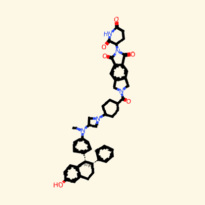 CN(c1ccc([C@H]2c3ccc(O)cc3CC[C@H]2c2ccccc2)cc1)C1CN(C2CCC(C(=O)N3Cc4cc5c(cc4C3)C(=O)N(C3CCC(=O)NC3=O)C5=O)CC2)C1